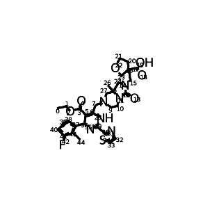 CCOC(=O)C1=C(CN2CCN3C(=O)N(CC4(C(=O)O)CCOC4)CC3(C)C2)NC(c2nccs2)=NC1c1cccc(F)c1C